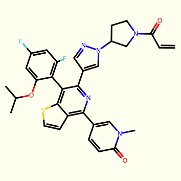 C=CC(=O)N1CCC(n2cc(-c3nc(-c4ccc(=O)n(C)c4)c4ccsc4c3-c3c(F)cc(F)cc3OC(C)C)cn2)C1